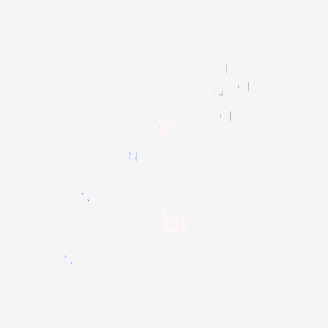 C[Si](C)(C)CCOCn1ccc2nc(C#N)cc(CO)c21